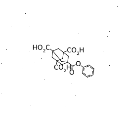 O=C(O)C12CC3(C(=O)O)CC(C(=O)O)(C1)CC(C(=O)Oc1ccccc1)(C2)C3